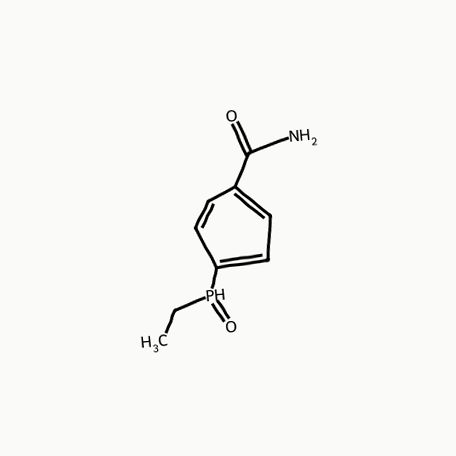 CC[PH](=O)c1ccc(C(N)=O)cc1